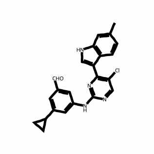 Cc1ccc2c(-c3nc(Nc4cc(C=O)cc(C5CC5)c4)ncc3Cl)c[nH]c2c1